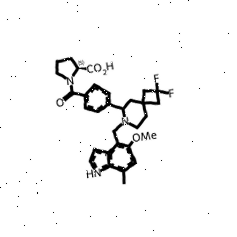 COc1cc(C)c2[nH]ccc2c1CN1CCC2(CC1c1ccc(C(=O)N3CCC[C@H]3C(=O)O)cc1)CC(F)(F)C2